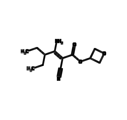 CCC(CC)/C(N)=C(\C#N)C(=O)OC1COC1